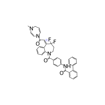 CN1C=CN(C(=O)/C=C2\c3ccccc3N(C(=O)c3ccc(NC(=O)c4ccccc4-c4ccccc4)cc3)CCC2(F)F)C=CC1